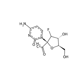 CC(=O)[C@@]1(n2ccc(N)nc2=O)O[C@H](CO)[C@@H](O)C1F